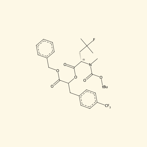 CN(C(=O)OC(C)(C)C)[C@@H](CC(C)(C)F)C(=O)OC(Cc1ccc(C(F)(F)F)cc1)C(=O)OCc1ccccc1